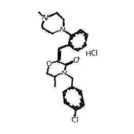 CC1COC(=Cc2ccccc2N2CCN(C)CC2)C(=O)N1Cc1ccc(Cl)cc1.Cl